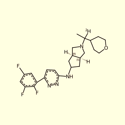 [2H]C(C)(C1CCOCC1)N1C[C@H]2CC(Nc3ccc(-c4cc(F)cc(F)c4F)nn3)C[C@H]2C1